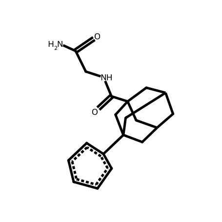 NC(=O)CNC(=O)C12CC3CC(C1)CC(c1ccccc1)(C3)C2